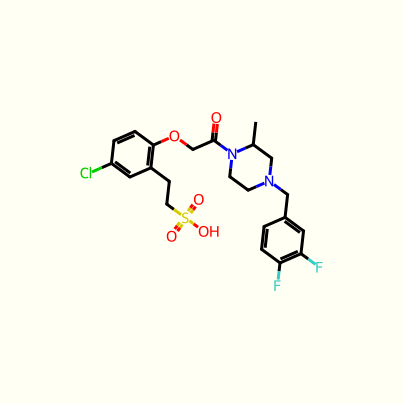 CC1CN(Cc2ccc(F)c(F)c2)CCN1C(=O)COc1ccc(Cl)cc1CCS(=O)(=O)O